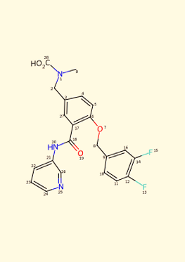 CN(Cc1ccc(OCc2ccc(F)c(F)c2)c(C(=O)Nc2cccnc2)c1)C(=O)O